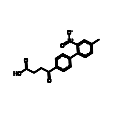 Cc1ccc(-c2ccc(C(=O)CCC(=O)O)cc2)c([N+](=O)[O-])c1